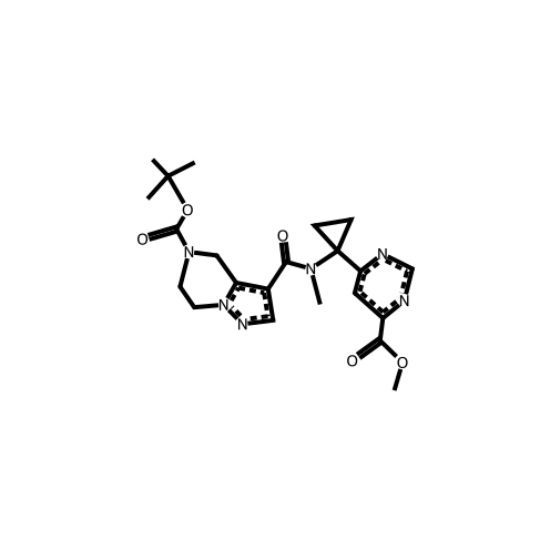 COC(=O)c1cc(C2(N(C)C(=O)c3cnn4c3CN(C(=O)OC(C)(C)C)CC4)CC2)ncn1